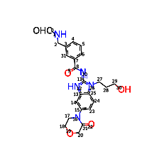 O=CNCc1cccc(C(=O)/N=c2\[nH]c3cc(N4CCOCC4=O)ccc3n2CCCO)c1